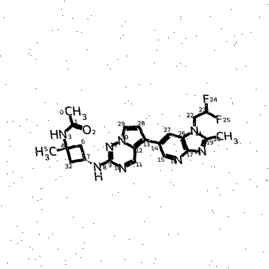 CC(=O)N[C@]1(C)C[C@H](Nc2ncc3c(-c4cnc5nc(C)n(CC(F)F)c5c4)ccn3n2)C1